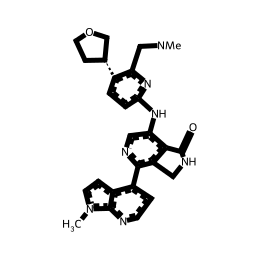 CNCc1nc(Nc2cnc(-c3ccnc4c3ccn4C)c3c2C(=O)NC3)ccc1[C@@H]1CCOC1